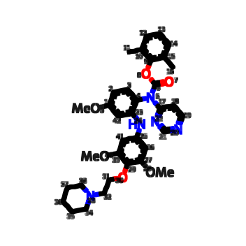 COc1ccc(N(C(=O)Oc2c(C)cccc2C)c2ccncn2)c(Nc2cc(OC)c(OCCN3CCCCC3)c(OC)c2)c1